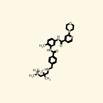 Cc1ccc(NC(=O)c2ccnc(N3CCOCC3)c2)cc1NC(=O)c1ccc(CNCC(C)(C)CN(C)C)cc1